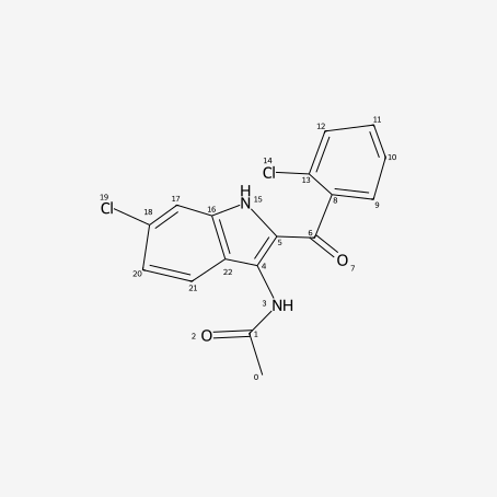 CC(=O)Nc1c(C(=O)c2ccccc2Cl)[nH]c2cc(Cl)ccc12